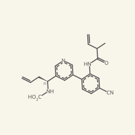 C=CC[C@H](NC(=O)O)c1cncc(-c2ccc(C#N)cc2NC(=O)C(C)C=C)c1